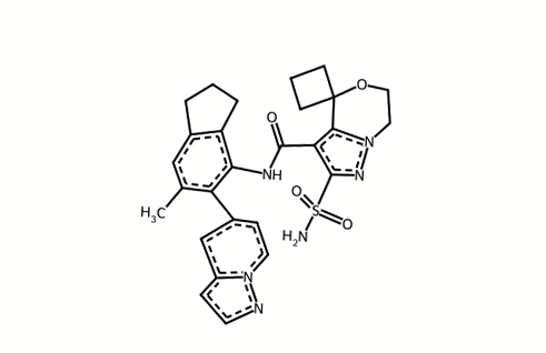 Cc1cc2c(c(NC(=O)c3c(S(N)(=O)=O)nn4c3C3(CCC3)OCC4)c1-c1ccn3nccc3c1)CCC2